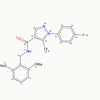 COc1cccc(OC)c1CNC(=O)c1cnn(-c2ccc(F)cc2)c1C(F)(F)F